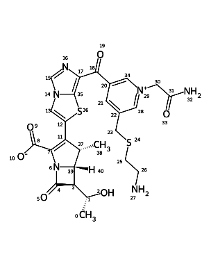 C[C@@H](O)[C@H]1C(=O)N2C(C(=O)[O-])=C(c3cn4cnc(C(=O)c5cc(CSCCN)c[n+](CC(N)=O)c5)c4s3)[C@H](C)[C@H]12